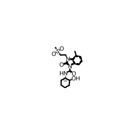 Cc1cccc2c1n(CCS(C)(=O)=O)c(=O)n2C(=O)N[C@H]1CCCCC1O